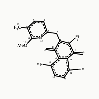 C=c1c(CC)c(Cc2ccc(C(F)(F)F)c(OC)n2)c(=C)c2c(F)ccc(F)c12